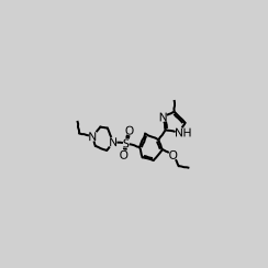 CCOc1ccc(S(=O)(=O)N2CCN(CC)CC2)cc1-c1nc(C)c[nH]1